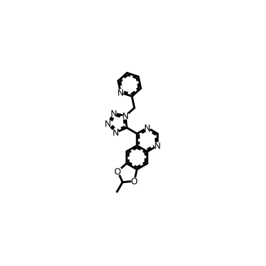 CC1Oc2cc3ncnc(-c4nnnn4Cc4ccccn4)c3cc2O1